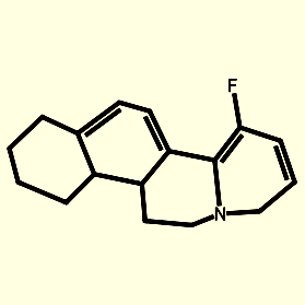 FC1=C2C3=CC=C4CCCCC4C3CCN2CC=C1